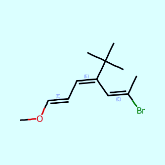 CO/C=C/C=C(\C=C(/C)Br)C(C)(C)C